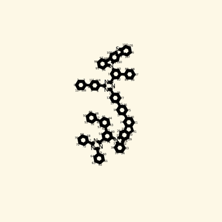 c1ccc(-c2ccc(-c3nc(-c4ccc(-c5ccc(-c6ccc7c(c6)-c6cc8c(cc6C7)c6ccccc6n8-c6cc(-c7cccc(-c8ccccc8)c7)cc(-c7nc(-c8ccccc8)nc(-c8ccccc8)n7)c6)cc5)cc4)nc(-c4cc(-c5ccccc5)cc(-n5c6ccccc6c6cc7sc8ccccc8c7cc65)c4)n3)cc2)cc1